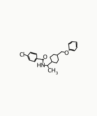 CC(NC(=O)c1ccc(Cl)cc1)C1CCC(COc2ccccc2)CC1